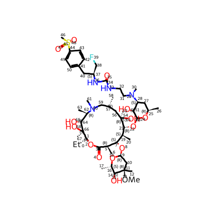 CC[C@H]1OC(=O)[C@H](C)[C@@H](O[C@H]2C[C@@](C)(OC)[C@@H](O)[C@H](C)O2)[C@H](C)[C@@H](O[C@@H]2O[C@H](C)C[C@H](N(C)CCNC(=O)N[C@H](CF)Cc3ccc(S(C)(=O)=O)cc3)[C@H]2O)[C@](C)(O)C[C@@H](C)CN(C)[C@H](C)[C@@H](O)[C@]1(C)O